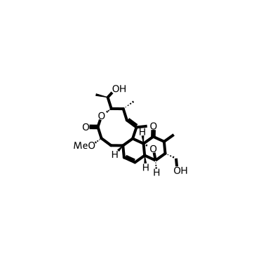 CO[C@H]1C[C@H]2C=C[C@H]3[C@H]4O[C@]2(/C(C)=C/[C@@H](C)[C@@H]([C@@H](C)O)OC1=O)[C@@H]3C(=O)C(C)[C@@H]4CO